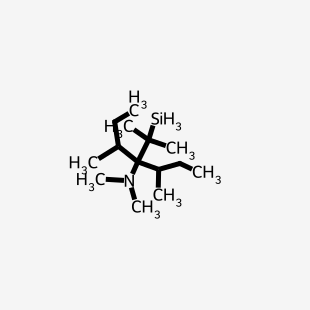 CCC(C)C(C(C)CC)(N(C)C)C(C)(C)[SiH3]